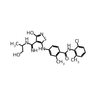 Cc1cc(Nc2snc(O)c2C(=N)NC(C)CO)ccc1C(=O)Nc1c(C)cccc1Cl